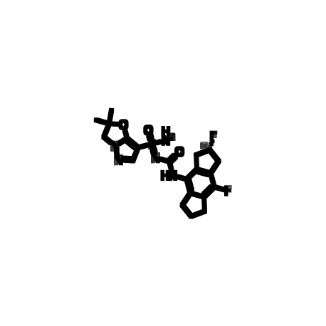 CC1(C)Cn2ncc(S(N)(=O)=NC(=O)Nc3c4c(c(F)c5c3C[C@H](F)C5)CCC4)c2O1